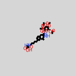 CC(=O)OC[C@H]1O[C@@H](Oc2n[nH]c(C(C)C)c2Cc2ccc(CCCCC(=O)NC(C)(C)C(=O)O)cc2)[C@H](OC(C)=O)[C@@H](OC(C)=O)[C@H]1OC(C)=O